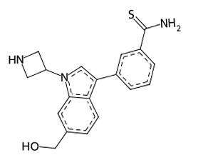 NC(=S)c1cccc(-c2cn(C3CNC3)c3cc(CO)ccc23)c1